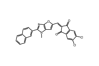 Cn1c(-c2ccc3ccccc3c2)nc2oc(C=C3C(=O)c4cc(Cl)c(Cl)cc4C3=O)cc21